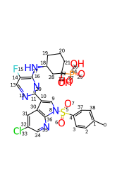 Cc1ccc(S(=O)(=O)n2cc(-c3ncc(F)c(N[C@H]4CCC[C@](O)(P(=O)(O)O)C4)n3)c3cc(Cl)cnc32)cc1